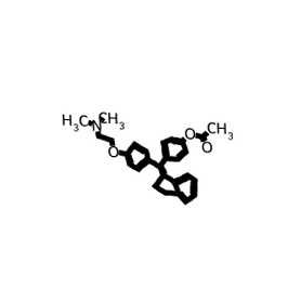 CC(=O)Oc1ccc(C(=C2CCc3ccccc32)c2ccc(OCCN(C)C)cc2)cc1